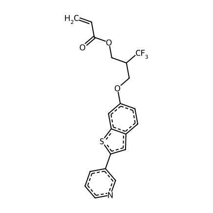 C=CC(=O)OCC(COc1ccc2cc(-c3cccnc3)sc2c1)C(F)(F)F